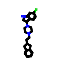 Clc1ccc2c(N3CCN(CCC4Cc5ccccc5C4)CC3)c[nH]c2c1